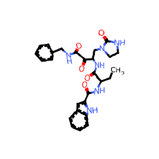 CCC(NC(=O)c1cc2ccccc2[nH]1)C(=O)NC(CN1CCNC1=O)C(=O)C(=O)NCc1ccccc1